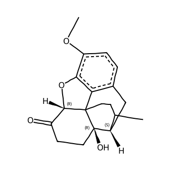 COc1ccc2c3c1O[C@H]1C(=O)CC[C@@]4(O)[C@@H](C2)C(C)CCC314